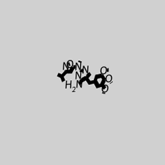 COc1cc(Cc2cnc(N(C)c3cc(C(C)C)no3)nc2N)cc(OC)c1OC